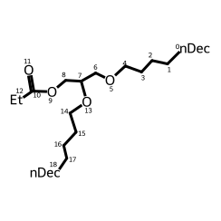 CCCCCCCCCCCCCCOCC(COC(=O)CC)OCCCCCCCCCCCCCC